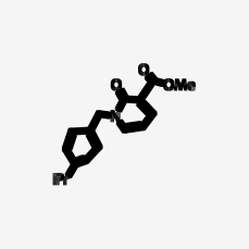 COC(=O)c1cccn(Cc2ccc(C(C)C)cc2)c1=O